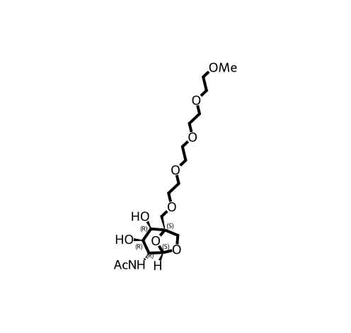 COCCOCCOCCOCCOC[C@@]12CO[C@@H](O1)[C@H](NC(C)=O)[C@@H](O)[C@H]2O